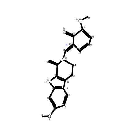 C=C1c2[nH]c3cc(OC)ccc3c2CCN1/C=C1\C=CC=C(OC)C1=O